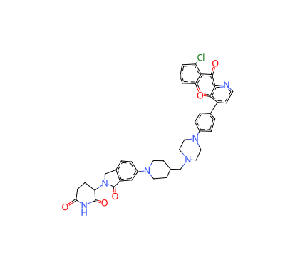 O=C1CCC(N2Cc3ccc(N4CCC(CN5CCN(c6ccc(-c7ccnc8c(=O)c9c(Cl)cccc9oc78)cc6)CC5)CC4)cc3C2=O)C(=O)N1